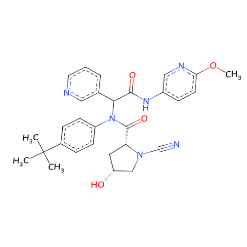 COc1ccc(NC(=O)C(c2cccnc2)N(C(=O)[C@H]2C[C@@H](O)CN2C#N)c2ccc(C(C)(C)C)cc2)cn1